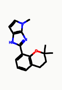 Cn1ccc2[nH]c(-c3cccc4c3OC(C)(C)CC4)nc21